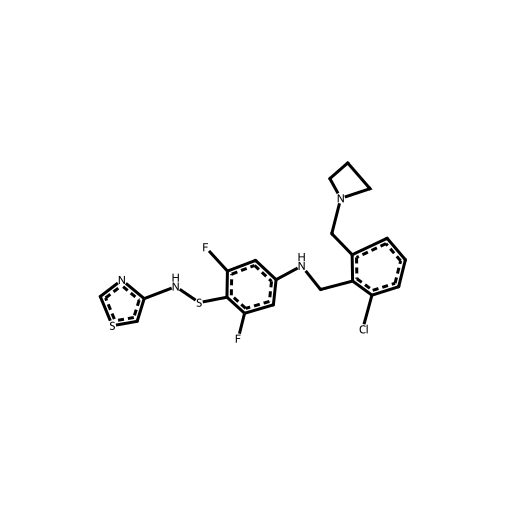 Fc1cc(NCc2c(Cl)cccc2CN2CCC2)cc(F)c1SNc1cscn1